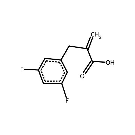 C=C(Cc1cc(F)cc(F)c1)C(=O)O